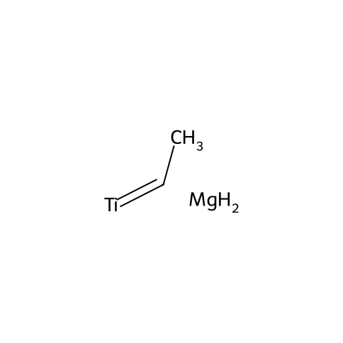 C[CH]=[Ti].[MgH2]